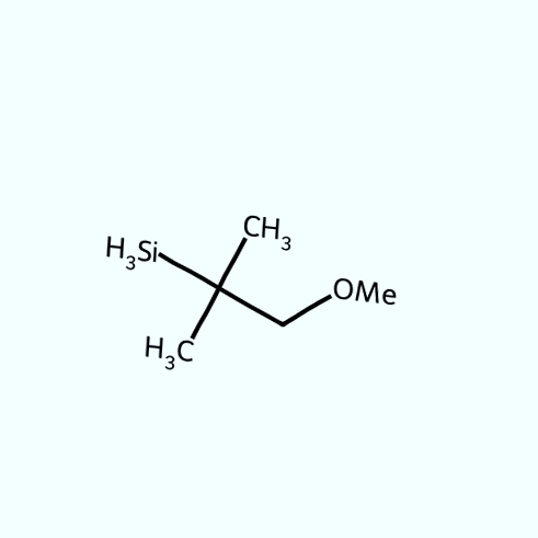 COCC(C)(C)[SiH3]